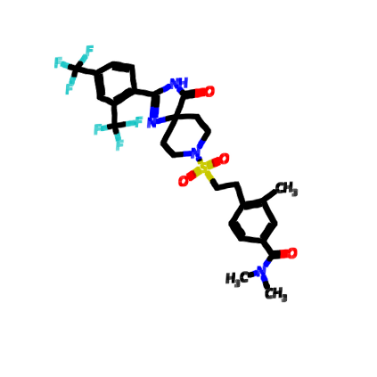 Cc1cc(C(=O)N(C)C)ccc1CCS(=O)(=O)N1CCC2(CC1)N=C(c1ccc(C(F)(F)F)cc1C(F)(F)F)NC2=O